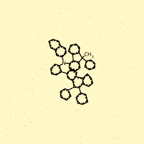 CC1(c2ccccc2)c2ccccc2-c2c(N(c3ccc4ccccc4c3)c3ccccc3-c3ccc4c(c3)c(-c3ccccc3)c(-c3ccccc3)c3ccccc34)cccc21